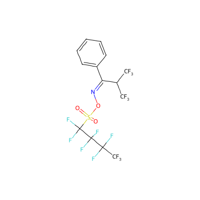 O=S(=O)(O/N=C(/c1ccccc1)C(C(F)(F)F)C(F)(F)F)C(F)(F)C(F)(F)C(F)(F)C(F)(F)F